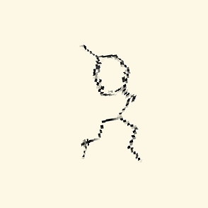 CCCC(CCNC)Oc1ccc(Cl)cc1